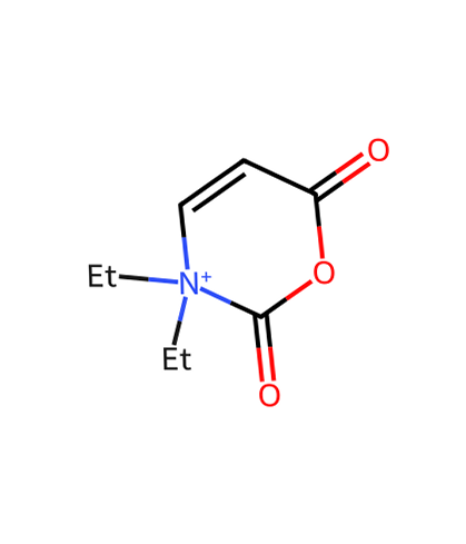 CC[N+]1(CC)C=CC(=O)OC1=O